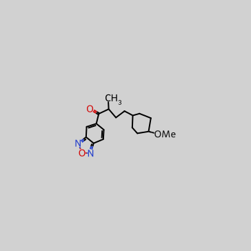 COC1CCC(CCC(C)C(=O)c2ccc3nonc3c2)CC1